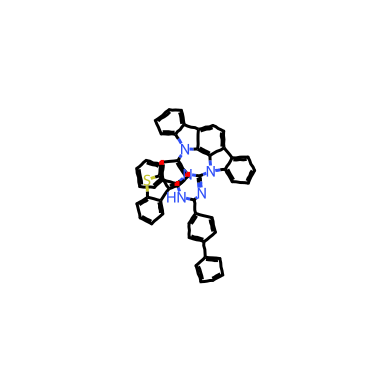 c1ccc(C2=NC(n3c4ccccc4c4ccc5c6ccccc6n(-c6ccc7c(c6)sc6ccccc67)c5c43)=NC(c3ccc(-c4ccccc4)cc3)N2)cc1